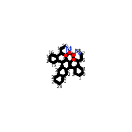 c1ccc(-c2c3ccccc3c(-c3ccccc3-c3ccncc3)c3cc4ccccc4cc23)c(-c2ccncc2)c1